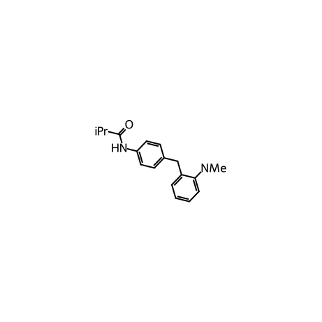 CNc1ccccc1Cc1ccc(NC(=O)C(C)C)cc1